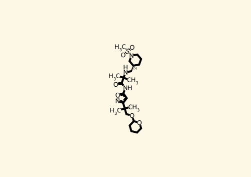 CC(C)(NC[C@@H]1CCCN(S(C)(=O)=O)C1)C(=O)Nc1cc(C(C)(C)COC2CCCCO2)no1